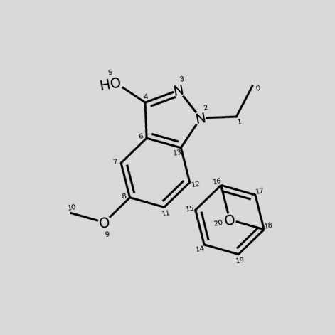 CCn1nc(O)c2cc(OC)ccc21.c1cc2cc(c1)O2